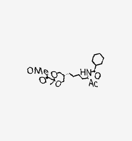 COC(=O)[C@]1(C)OC[C@H](CCCCC(NC(=O)C2CCCCC2)C(C)=O)CO1